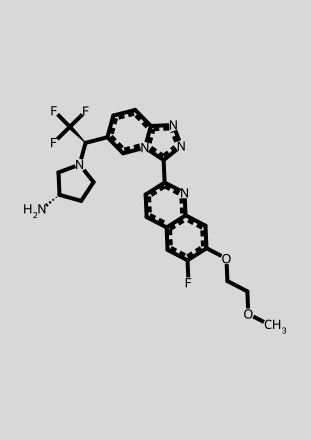 COCCOc1cc2nc(-c3nnc4ccc([C@@H](N5CC[C@H](N)C5)C(F)(F)F)cn34)ccc2cc1F